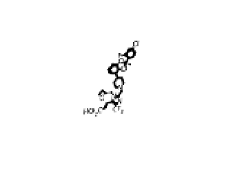 C[C@]1(c2ccc(Cl)cc2F)Oc2cccc(C3CCN(Cc4nc(C(F)(F)F)c(/C=C/C(=O)O)n4C[C@@H]4CCO4)CC3)c2O1